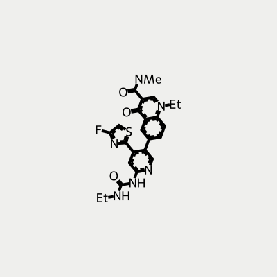 CCNC(=O)Nc1cc(-c2nc(F)cs2)c(-c2ccc3c(c2)c(=O)c(C(=O)NC)cn3CC)cn1